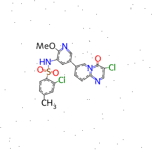 COc1ncc(-c2ccc3ncc(Cl)c(=O)n3c2)cc1NS(=O)(=O)c1ccc(C)cc1Cl